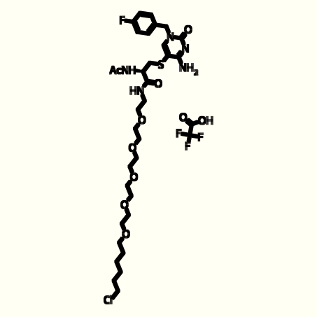 CC(=O)N[C@@H](CSc1cn(Cc2ccc(F)cc2)c(=O)nc1N)C(=O)NCCOCCOCCOCCOCCOCCCCCCCl.O=C(O)C(F)(F)F